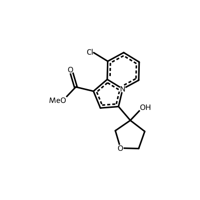 COC(=O)c1cc(C2(O)CCOC2)n2cccc(Cl)c12